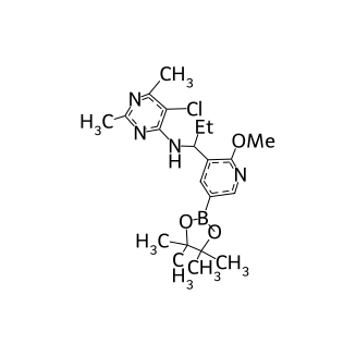 CCC(Nc1nc(C)nc(C)c1Cl)c1cc(B2OC(C)(C)C(C)(C)O2)cnc1OC